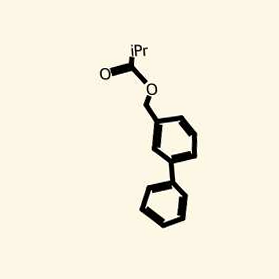 CC(C)C(=O)OCc1cccc(-c2ccccc2)c1